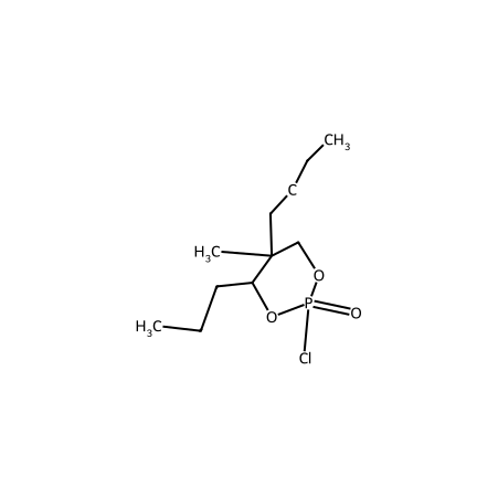 CCCCC1(C)COP(=O)(Cl)OC1CCC